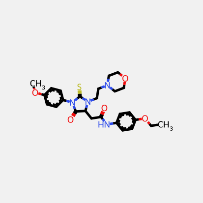 CCOc1ccc(NC(=O)CC2C(=O)N(c3ccc(OC)cc3)C(=S)N2CCN2CCOCC2)cc1